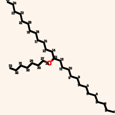 CCCCCCCCCCCCCC(CCCCCCCCCCCC)OCCCCCCC